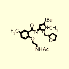 CC(=O)NCCOc1ccc(C(F)(F)F)cc1C(=O)N=c1cc(C(C)(C)C)n(C)n1C[C@H]1CCCO1